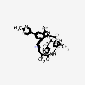 CC(=O)c1nn2c3c(cc(-c4cnc(C)nc4)cc13)C/C=C/CCCC(=O)NC[C@@]13C[C@@H](C(=O)Nc4ccn(CC(F)(F)F)n4)N(C(=O)C2)[C@@H]1[C@@H]3C